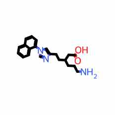 NCCCC(CCc1cn(-c2cccc3ccccc23)cn1)CC(=O)O